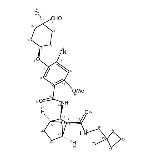 CC[C@]1(C=O)CC[C@@H](Oc2cc(C(=O)N[C@H]3[C@@H](C(=O)NCC4(C)CCC4)[C@H]4CC[C@@H]3O4)c(OC)cc2C#N)CC1